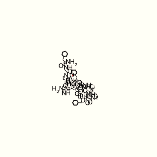 CC(C)(C)OC(=O)[C@](CCCNC(=N)N)(C(=O)C(N)CCC[C@@](N)(C(=O)OCc1ccccc1)C(=O)N1CCC[C@H]1C(=O)N1CCC[C@H]1C(=O)NCC(=O)O)N(C(=O)[C@H](Cc1ccccc1)NC(=O)[C@@H]1CCCN1C(=O)CNC(=O)[C@@H](N)Cc1ccccc1)[N+](=O)[O-]